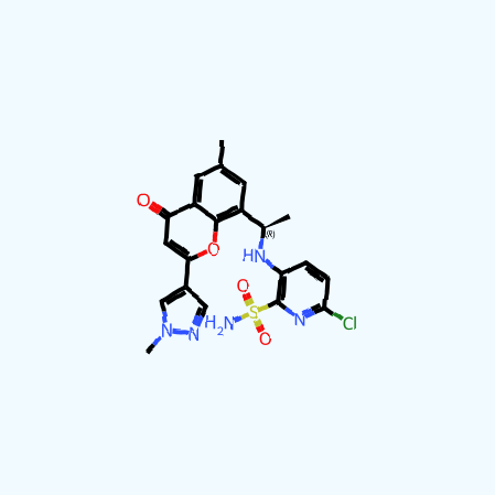 Cc1cc([C@@H](C)Nc2ccc(Cl)nc2S(N)(=O)=O)c2oc(-c3cnn(C)c3)cc(=O)c2c1